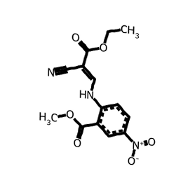 CCOC(=O)/C(C#N)=C/Nc1ccc([N+](=O)[O-])cc1C(=O)OC